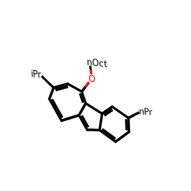 CCCCCCCCOc1cc(C(C)C)ccc2cc3ccc(CCC)cc3c1-2